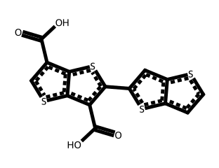 O=C(O)c1csc2c(C(=O)O)c(-c3cc4sccc4s3)sc12